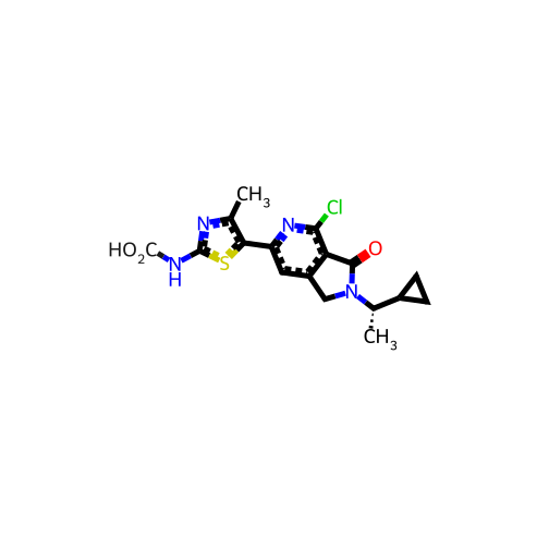 Cc1nc(NC(=O)O)sc1-c1cc2c(c(Cl)n1)C(=O)N([C@@H](C)C1CC1)C2